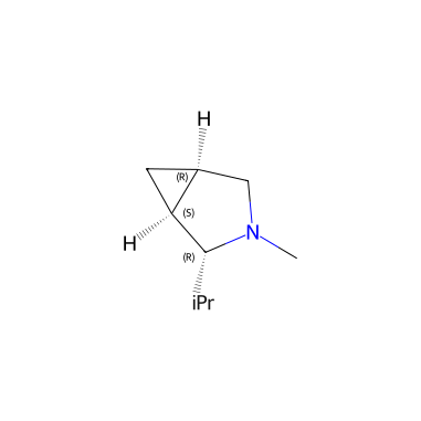 CC(C)[C@@H]1[C@H]2C[C@H]2CN1C